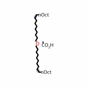 CC(=O)O.CCCCCCCC/C=C\CCCCCCCCOCCCCCCCC/C=C\CCCCCCCC